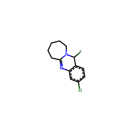 FC1c2ccc(Cl)cc2N=C2CCCCCN21